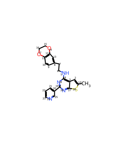 Cc1cc2c(NCCc3ccc4c(c3)OCCO4)nc(-c3cccnc3)nc2s1